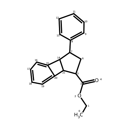 CCOC(=O)C1CC(c2ccccc2)C2c3ccccc3C12